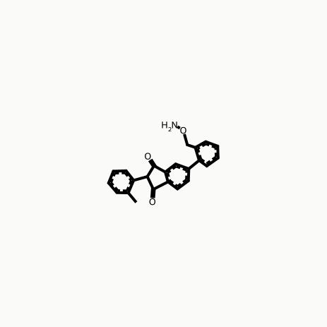 Cc1ccccc1C1C(=O)c2ccc(-c3ccccc3CON)cc2C1=O